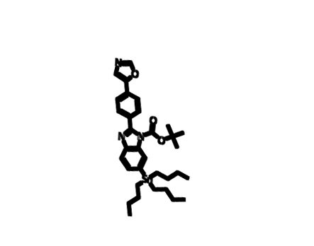 CCC[CH2][Sn]([CH2]CCC)([CH2]CCC)[c]1ccc2nc(-c3ccc(-c4cnco4)cc3)n(C(=O)OC(C)(C)C)c2c1